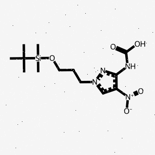 CC(C)(C)[Si](C)(C)OCCCn1cc([N+](=O)[O-])c(NC(=O)O)n1